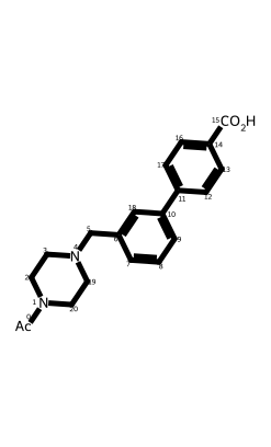 CC(=O)N1CCN(Cc2cccc(-c3ccc(C(=O)O)cc3)c2)CC1